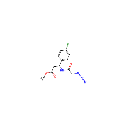 COC(=O)C[C@H](NC(=O)CN=[N+]=[N-])c1ccc(F)cc1